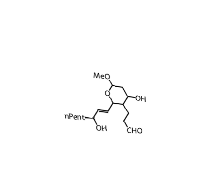 CCCCC[C@H](O)C=CC1OC(OC)CC(O)C1CCC=O